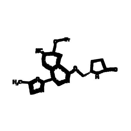 Cc1cnc(-c2cnc(OC[C@@H]3CCC(=O)N3)c3cc(OC(C)C)c(C#N)cc23)o1